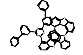 c1ccc(-c2cccc(-c3nc(-c4cccc(-c5ccccc5)c4)nc(-c4cccc5oc6ccc(-c7cccc8sc9cccc(-n%10c%11ccccc%11c%11ccccc%11%10)c9c78)cc6c45)n3)c2)cc1